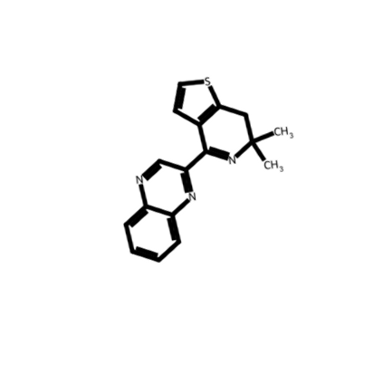 CC1(C)Cc2sccc2C(c2cnc3ccccc3n2)=N1